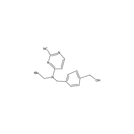 CC(C)(C)CN(Cc1ccc(CO)cc1)c1ccnc(C#N)n1